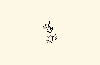 CC1(C)N=C(c2cnc3c(I)cnn3c2)c2sccc2C1(C)C